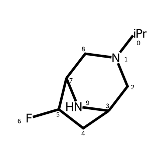 CC(C)N1CC2CC(F)C(C1)N2